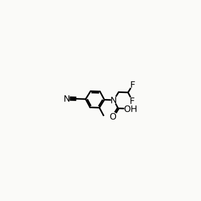 Cc1cc(C#N)ccc1N(CC(F)F)C(=O)O